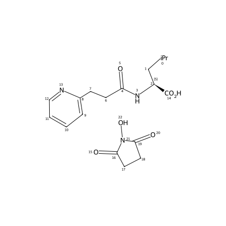 CC(C)C[C@H](NC(=O)CCc1ccccn1)C(=O)O.O=C1CCC(=O)N1O